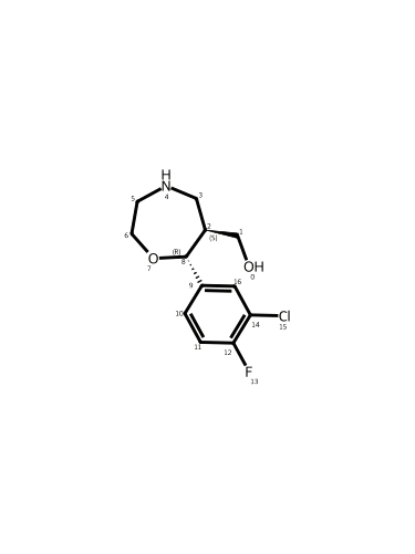 OC[C@@H]1CNCCO[C@H]1c1ccc(F)c(Cl)c1